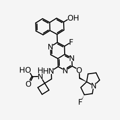 O=C(O)NC1(CNc2nc(OC[C@@]34CCCN3C[C@H](F)C4)nc3c(F)c(-c4cc(O)cc5ccccc45)ncc23)CCC1